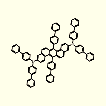 c1ccc(-c2ccc(-c3c4ccc5cc(N(c6ccc(-c7ccccc7)cc6)c6ccc(-c7ccccc7)cc6)ccc5c4c(-c4ccc(-c5ccccc5)cc4)c4ccc5cc(N(c6ccc(-c7ccccc7)cc6)c6ccc(-c7ccccc7)cc6)ccc5c34)cc2)cc1